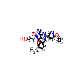 CCn1c(=O)n(CCCO)c(=O)c2c1nc(-c1ccc(OC3CCC3)nc1)n2Cc1ccc(C(F)(F)F)cc1